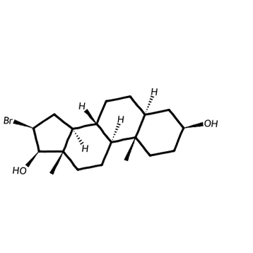 C[C@]12CC[C@H](O)C[C@@H]1CC[C@@H]1[C@@H]2CC[C@]2(C)[C@@H](O)[C@@H](Br)C[C@@H]12